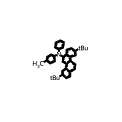 Cc1ccc(N(c2ccccc2)c2cc3c4cc(C(C)(C)C)ccc4ccc3c3cc(C(C)(C)C)ccc23)cc1